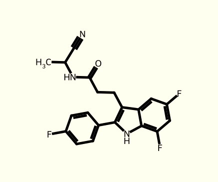 CC(C#N)NC(=O)CCc1c(-c2ccc(F)cc2)[nH]c2c(F)cc(F)cc12